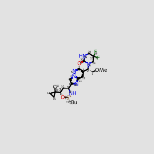 COC[C@H](c1cnn2cc([C@H](CCC3(C(F)(F)F)CC3)N[S@@+]([O-])C(C)(C)C)nc2c1)N1CC(F)(F)CNC1=O